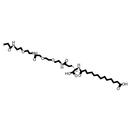 O=C(O)CCCCCCCCCCCC(=O)N[C@@H](CCC(=O)NCCOCCOCC(=O)NCCOCCNC(=O)CI)C(=O)O